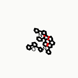 c1cc(-c2cccc3c2oc2ccccc23)cc(N(c2ccc(-c3ccccc3-c3ccccc3-n3c4ccccc4c4ccccc43)cc2)c2ccccc2-c2ccc3c(ccc4ccccc43)c2)c1